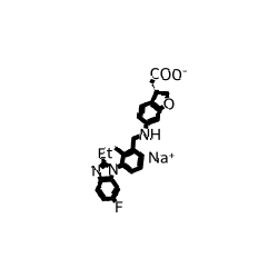 CCc1nc2ccc(F)cc2n1-c1cccc(CNc2ccc3c(c2)OC[C@H]3CC(=O)[O-])c1C.[Na+]